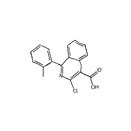 Cc1ccccc1-c1nc(Cl)c(C(=O)O)c2ccccc12